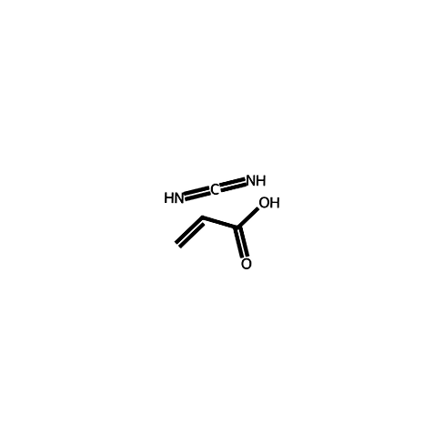 C=CC(=O)O.N=C=N